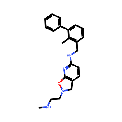 CNCCN1Cc2ccc(NCc3cccc(-c4ccccc4)c3C)nc2O1